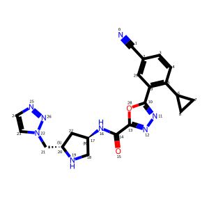 N#Cc1ccc(C2CC2)c(-c2nnc(C(=O)N[C@H]3CN[C@H](Cn4ccnn4)C3)o2)c1